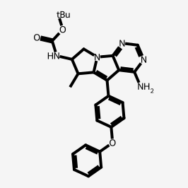 CC1c2c(-c3ccc(Oc4ccccc4)cc3)c3c(N)ncnc3n2CC1NC(=O)OC(C)(C)C